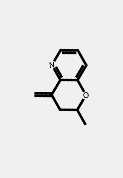 C=C1CC(C)Oc2cccnc21